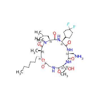 CCCCCC[C@H]1OC(=O)CNC(=O)[C@H]([C@H](C)O)NC(=O)[C@H](CN)NC(=O)[C@H](C2CCC(F)(F)CC2)NC(=O)[C@H](CC(C)C)N(C)C(=O)[C@@H]1C